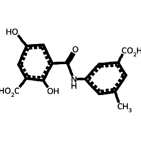 Cc1cc(NC(=O)c2cc(O)cc(C(=O)O)c2O)cc(C(=O)O)c1